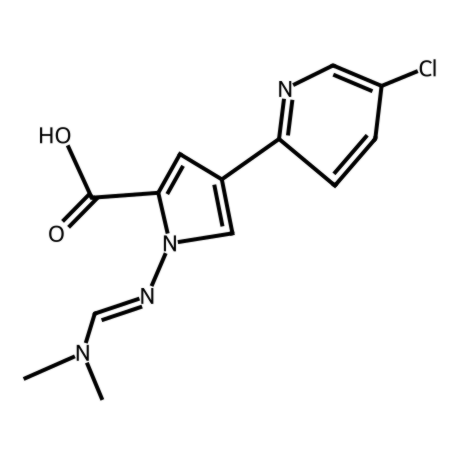 CN(C)/C=N/n1cc(-c2ccc(Cl)cn2)cc1C(=O)O